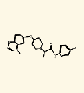 Cc1ccc(NC(=O)C(C)N2CCC(Oc3ccc4nccc(C)c4c3)CC2)cc1